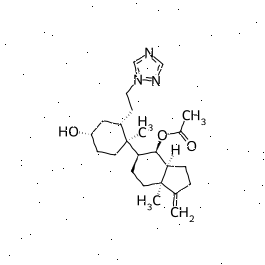 C=C1CC[C@@H]2[C@H](OC(C)=O)[C@H]([C@@]3(C)CC[C@H](O)C[C@@H]3CCn3cncn3)CC[C@]12C